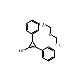 CCOCC.OC1=C(c2ccccc2)C1c1ccccc1